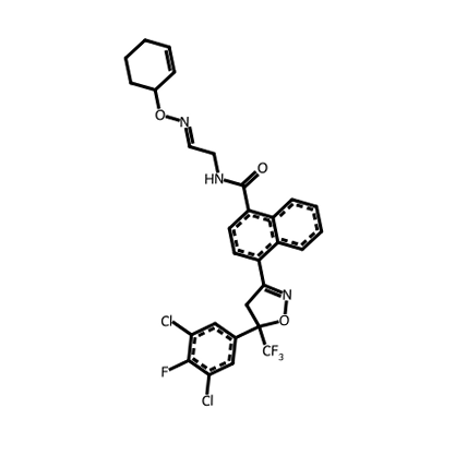 O=C(NC/C=N/OC1C=CCCC1)c1ccc(C2=NOC(c3cc(Cl)c(F)c(Cl)c3)(C(F)(F)F)C2)c2ccccc12